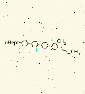 C/C=C\CCCc1ccc(-c2ccc(-c3ccc(C4=CCC(CCCCCCC)CC4)cc3F)cc2)c(F)c1C